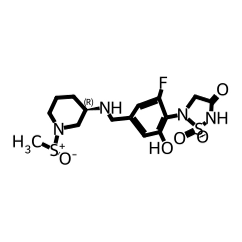 C[S+]([O-])N1CCC[C@@H](NCc2cc(O)c(N3CC(=O)NS3(=O)=O)c(F)c2)C1